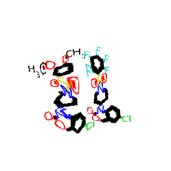 COc1ccc(S(=O)(=O)N2CCC(N3C(=O)OCc4cc(Cl)ccc43)CC2)cc1OC.O=C1OCc2cc(Cl)ccc2N1C1CCN(S(=O)(=O)c2c(F)c(F)c(F)c(F)c2F)CC1